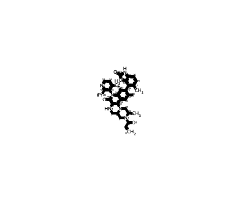 C=CC(=O)N1CC2CNc3c(c4cc(F)c(-c5c(C)ccc6[nH]c(=O)oc56)c(F)c4n(-c4c(C)ccnc4C(C)C)c3=O)N2CC1C